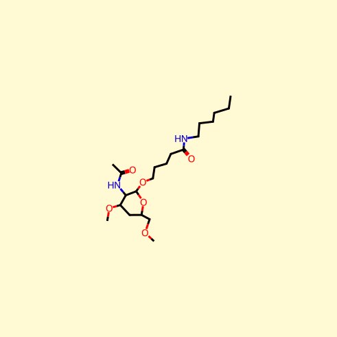 CCCCCCNC(=O)CCCCOC1OC(COC)CC(OC)C1NC(C)=O